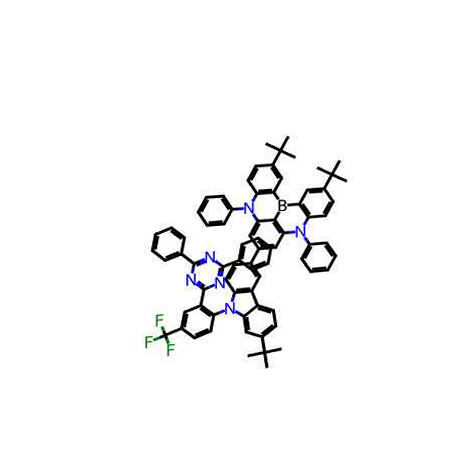 CC(C)(C)c1ccc2c(c1)B1c3cc(C(C)(C)C)ccc3N(c3ccccc3)c3cc(-c4ccc5c(c4)c4ccc(C(C)(C)C)cc4n5-c4ccc(C(F)(F)F)cc4-c4nc(-c5ccccc5)nc(-c5ccccc5)n4)cc(c31)N2c1ccccc1